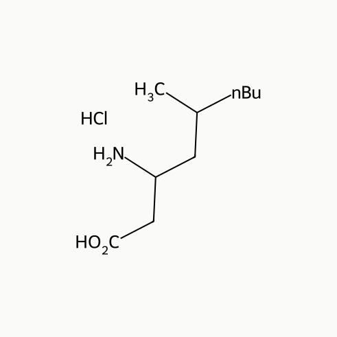 CCCCC(C)CC(N)CC(=O)O.Cl